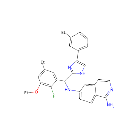 CCOc1cc(CC)cc(C(Nc2ccc3c(N)nccc3c2)c2nc(-c3cccc(CC)c3)c[nH]2)c1F